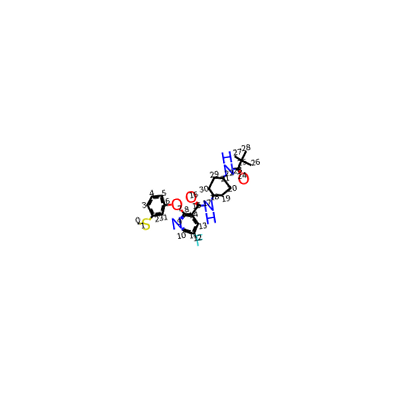 CSc1cccc(Oc2ncc(F)cc2C(=O)NC2CCC(NC(=O)C(C)(C)C)CC2)c1